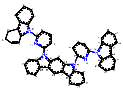 C1=Cc2c(c3ccccc3n2-c2cccc(-n3c4ccccc4c4cc5c6ccccc6n(-c6cccc(-n7c8ccccc8c8ccccc87)n6)c5cc43)n2)CC1